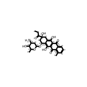 CCC(=O)[C@]1(O)Cc2c(O)c3c(c(O)c2[C@@H](OC2CC(N)C(O)C(C)O2)C1)C(=O)c1c(C)cccc1C3=O